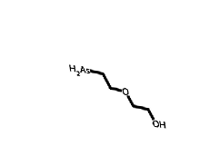 OCCOCC[AsH2]